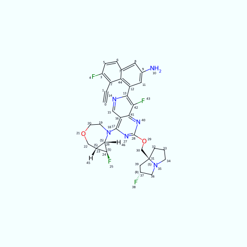 C#Cc1c(F)ccc2cc(N)cc(-c3ncc4c(N5CCOC[C@H]6[C@H](F)[C@H]65)nc(OC[C@@]56CCCN5C[C@H](F)C6)nc4c3F)c12